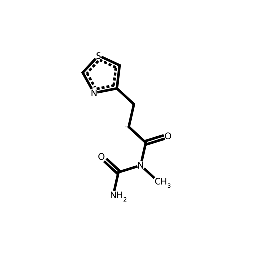 CN(C(N)=O)C(=O)[CH]Cc1cscn1